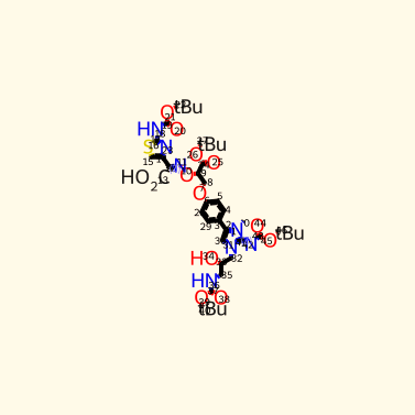 Cn1c(-c2ccc(OCC(O/N=C(\C(=O)O)c3csc(NC(=O)OC(C)(C)C)n3)C(=O)OC(C)(C)C)cc2)cn(CC(O)CNC(=O)OC(C)(C)C)/c1=N/C(=O)OC(C)(C)C